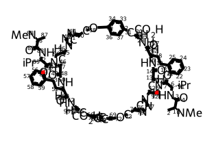 CN[C@@H](C)C(=O)N[C@H](C(=O)N1C[C@@H]2C[C@H]1C(=O)N[C@@H](CCc1ccccc1)C(=O)N[C@H](C(=O)O)Cc1ccc(cc1)OCc1cn(nn1)[C@H]1C[C@@H](C(=O)N[C@@H](CCc3ccccc3)C(=O)N[C@H](C(=O)O)Cc3ccc(cc3)OCc3cn2nn3)N(C(=O)[C@@H](NC(=O)[C@H](C)NC)C(C)C)C1)C(C)C